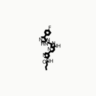 CCCC(=O)Nc1cncc(-c2ccc3[nH]nc(-c4nc5c(-c6ccc(F)cc6)cncc5[nH]4)c3n2)c1